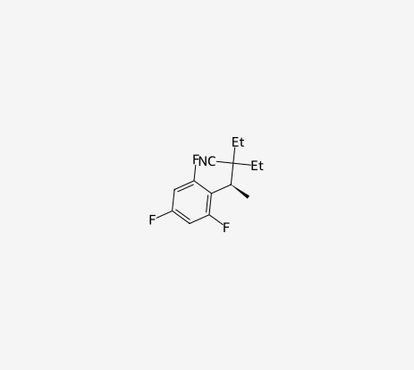 CCC(C#N)(CC)[C@@H](C)c1c(F)cc(F)cc1F